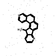 CC1c2cccnc2-c2ccc3ccc4cnccc4c3c21